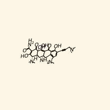 CN(C)CC#Cc1cc(N(C)C)c2c(c1O)C(=O)C1=C(O)[C@]3(O)C(=O)C(C(N)=O)=C(O)[C@@H](N(C)C)[C@@H]3C[C@]1(N)C2